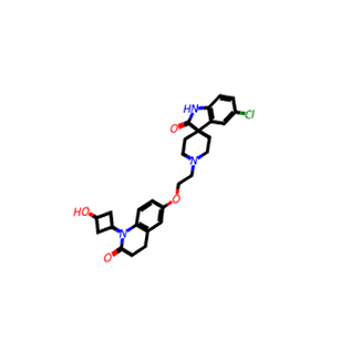 O=C1CCc2cc(OCCN3CCC4(CC3)C(=O)Nc3ccc(Cl)cc34)ccc2N1C1CC(O)C1